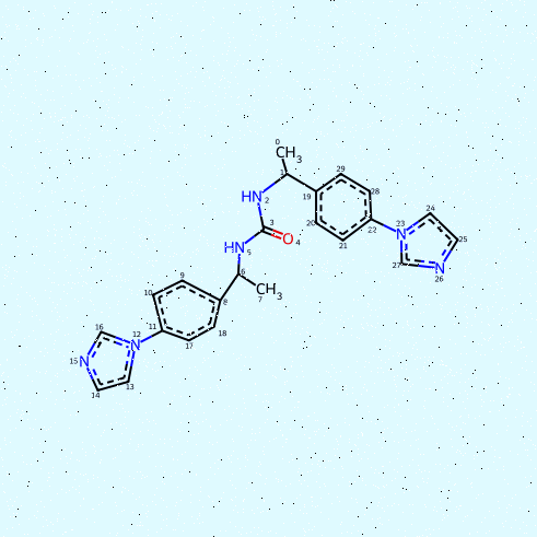 CC(NC(=O)NC(C)c1ccc(-n2ccnc2)cc1)c1ccc(-n2ccnc2)cc1